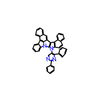 c1ccc(-c2ncc(-n3c4ccc5ccccc5c4c4c5cc6ccccc6c6c7ccccc7n(c56)c43)c(-c3ccccc3)n2)cc1